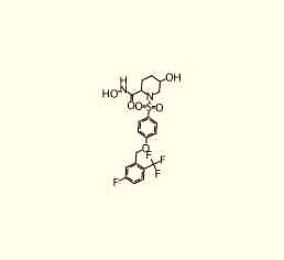 O=C(NO)C1CCC(O)CN1S(=O)(=O)c1ccc(OCc2cc(F)ccc2C(F)(F)F)cc1